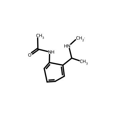 [CH2]NC(C)c1ccccc1NC(C)=O